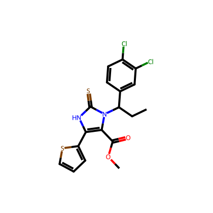 CCC(c1ccc(Cl)c(Cl)c1)n1c(C(=O)OC)c(-c2cccs2)[nH]c1=S